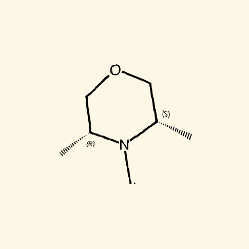 [CH2]N1[C@H](C)COC[C@@H]1C